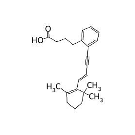 CC1=C(C=CC#Cc2ccccc2CCCC(=O)O)C(C)(C)CCC1